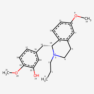 CCCN1CCc2cc(OC)ccc2[C@H]1Cc1ccc(OC)c(O)c1